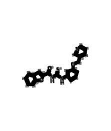 O=C(NC(=S)Nc1cccc(OCc2cccnc2)c1)c1cc2ccccc2o1